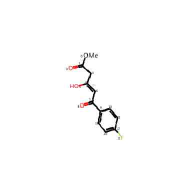 COC(=O)C/C(O)=C/C(=O)c1ccc(F)cc1